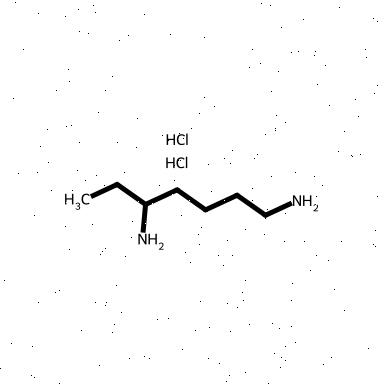 CCC(N)CCCCN.Cl.Cl